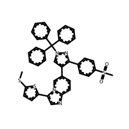 CSc1ccc(-c2cnc3ccc(-c4cn(C(c5ccccc5)(c5ccccc5)c5ccccc5)nc4-c4ccc(S(C)(=O)=O)cc4)cn23)s1